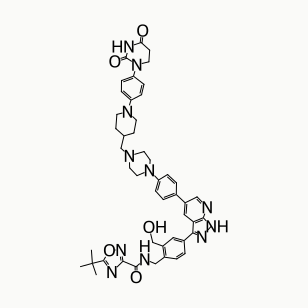 CC(C)(C)c1nc(C(=O)NCc2ccc(-c3n[nH]c4ncc(-c5ccc(N6CCN(CC7CCN(c8ccc(N9CCC(=O)NC9=O)cc8)CC7)CC6)cc5)cc34)cc2CO)no1